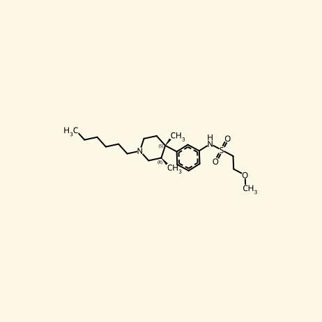 CCCCCCN1CC[C@](C)(c2cccc(NS(=O)(=O)CCOC)c2)[C@@H](C)C1